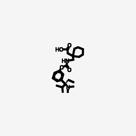 CC[C@@](c1cccc(OC(=O)NCC2(CC(=O)O)CCCCC2)c1)(C(C)C)N(C)C